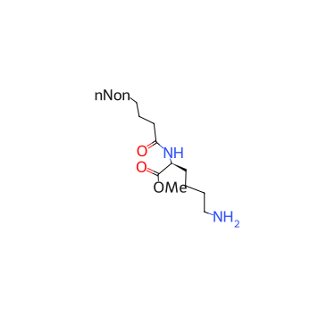 CCCCCCCCCCCCC(=O)N[C@@H](CCCCN)C(=O)OC